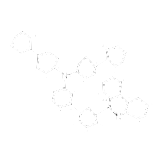 c1ccc(-c2ccc(N(c3ccc(-c4ccccc4)cc3)c3cccc(-c4cccc(-c5nc6ccccc6c6ccccc56)c4)c3)cc2)cc1